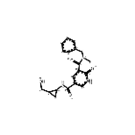 CN(Cc1ccccc1)C(=O)c1cc(C(=O)NC2CC2CO)c[nH]c1=O